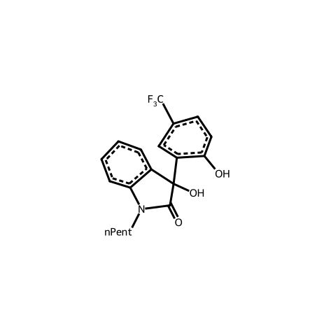 CCCCCN1C(=O)C(O)(c2cc(C(F)(F)F)ccc2O)c2ccccc21